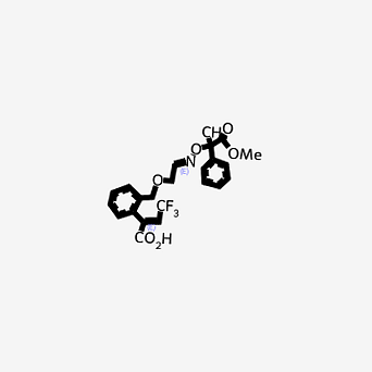 COC(=O)C(C)(O/N=C/COCc1ccccc1/C(=C\C(F)(F)F)C(=O)O)c1ccccc1